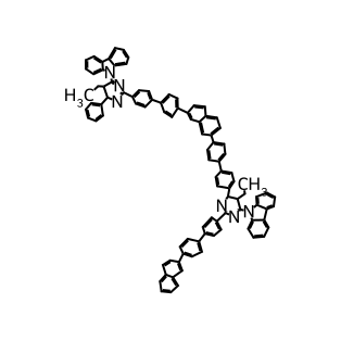 CCC1C(n2c3ccccc3c3ccccc32)=NC(c2ccc(-c3ccc(-c4ccc5ccc(-c6ccc(-c7ccc(C8N=C(c9ccc(-c%10ccc(-c%11ccc%12ccccc%12c%11)cc%10)cc9)N=C(n9c%10ccccc%10c%10ccccc%109)C8CC)cc7)cc6)cc5c4)cc3)cc2)=NC1c1ccccc1